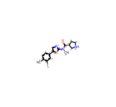 N#Cc1ccc(-c2cnc(N(C#N)C(=O)[C@H]3CCNC3)s2)cc1F